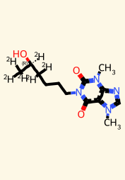 [2H]C([2H])([2H])[C@@]([2H])(O)C([2H])([2H])CCCn1c(=O)c2c(ncn2C)n(C)c1=O